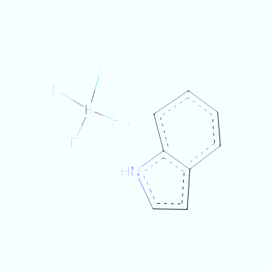 F[B-](F)(F)F.[c]1cc2ccccc2[nH]1